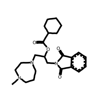 CN1CCCN(CC(CN2C(=O)c3ccccc3C2=O)OC(=O)C2CCCCC2)CC1